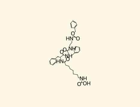 O=C(O)NCCCCCCCC(=O)N[C@@H](Cc1ccccc1)C(=O)N[C@@H](Cc1ccccc1)C(=O)NCCNC(=O)OCc1ccccc1